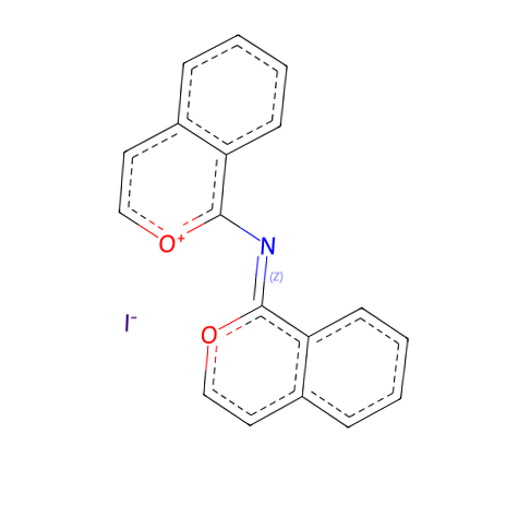 [I-].c1ccc2c(/N=c3\occc4ccccc34)[o+]ccc2c1